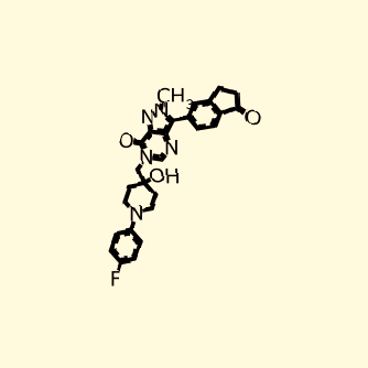 Cn1nc2c(=O)n(CC3(O)CCN(c4ccc(F)cc4)CC3)cnc2c1-c1ccc2c(c1)CCC2=O